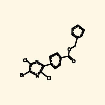 O=C(OCc1ccccc1)c1ccc(-c2nc(Cl)c(Br)nc2Cl)cc1